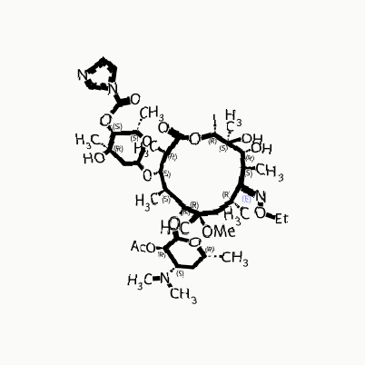 CCO/N=C1\[C@H](C)C[C@@](C)(OC)[C@H](OC2O[C@H](C)C[C@H](N(C)C)[C@H]2OC(C)=O)[C@@H](C)[C@H](OC2C[C@@](C)(O)[C@@H](OC(=O)n3ccnc3)[C@H](C)O2)[C@@H](C)C(=O)O[C@H](I)[C@@](C)(O)[C@H](O)[C@H]1C